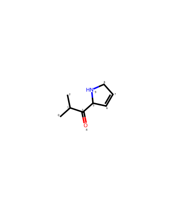 CC(C)C(=O)C1C=CCN1